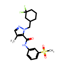 CS(=O)(=O)c1cccc(NC(=O)c2c(C(F)(F)F)cnn2CC2CCCC(F)(F)C2)c1